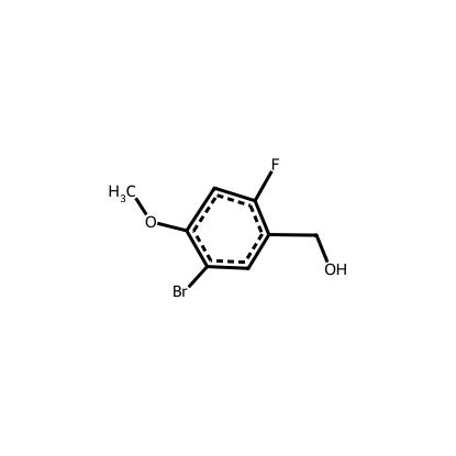 COc1cc(F)c(CO)cc1Br